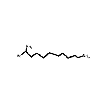 CC(=O)C(N)CCCCCCCCCN